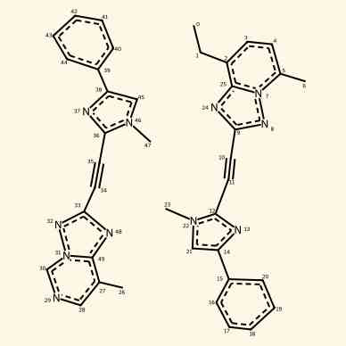 CCc1ccc(C)n2nc(C#Cc3nc(-c4ccccc4)cn3C)nc12.Cc1cncn2nc(C#Cc3nc(-c4ccccc4)cn3C)nc12